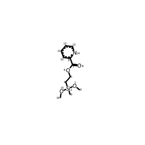 CO[Si](C)(CCOC(=O)c1ccccn1)OC